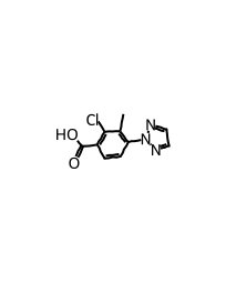 Cc1c(-n2nccn2)ccc(C(=O)O)c1Cl